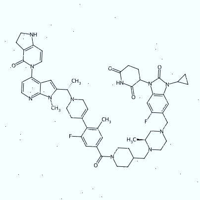 Cc1cc(C(=O)N2CCC(CN3CCN(Cc4cc5c(cc4F)n(C4CCC(=O)NC4=O)c(=O)n5C4CC4)C[C@@H]3C)CC2)cc(F)c1C1=CCN([C@@H](C)c2cc3c(-n4ccc5c(c4=O)CCN5)ccnc3n2C)CC1